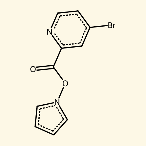 O=C(On1cccc1)c1cc(Br)ccn1